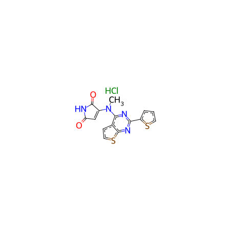 CN(C1=CC(=O)NC1=O)c1nc(-c2cccs2)nc2sccc12.Cl